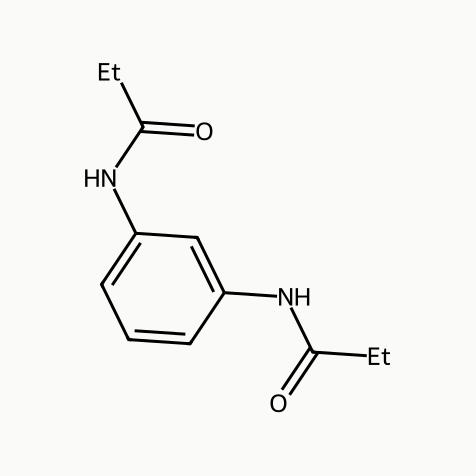 CCC(=O)Nc1cccc(NC(=O)CC)c1